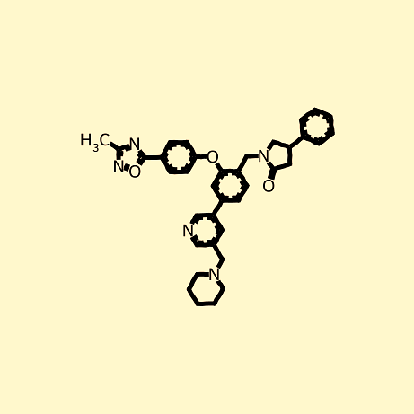 Cc1noc(-c2ccc(Oc3cc(-c4cncc(CN5CCCCC5)c4)ccc3CN3CC(c4ccccc4)CC3=O)cc2)n1